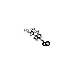 OC[C@H]1O[C@@H](n2cnc3c(NCC4=CCc5ccccc54)ncnc32)[C@H](O)[C@@H]1O